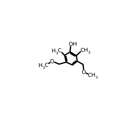 COCc1cc(COC)c(C)c(O)c1C